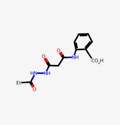 CCC(=O)NNC(=O)CC(=O)Nc1ccccc1C(=O)O